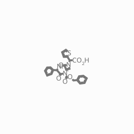 NC(C(=O)N(C(=O)OCc1ccccc1)C1CN(C(C(=O)O)c2cccs2)C1=O)c1ccccc1